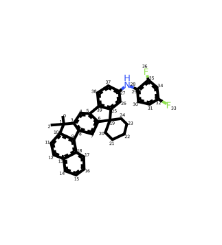 CC1(C)c2cc3c(cc2-c2c1ccc1ccccc21)C1(CCCCC1)c1cc(Nc2ccc(F)cc2F)ccc1-3